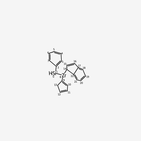 C[SiH](c1ccccc1)[Zr]([C]1=CC=CC1)[CH]1C=Cc2ccccc21